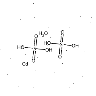 O.O=S(=O)(O)O.O=S(=O)(O)O.[Cd]